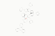 c1ccc(-c2ccc(-c3nc(-c4ccc5c6ccccc6c6ccccc6c5c4)nc(-c4ccccc4-n4c5cc(-c6ccccc6)ccc5c5c(-c6cccc7c6c6ccccc6n7-c6ccccc6)cccc54)n3)cc2)cc1